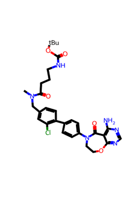 CN(Cc1ccc(-c2ccc(N3CCOc4ncnc(N)c4C3=O)cc2)c(Cl)c1)C(=O)CCCNC(=O)OC(C)(C)C